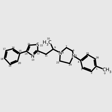 Cc1ccc(N2CCN(C(C)Cc3nc(-c4ccccc4)cs3)CC2)cc1